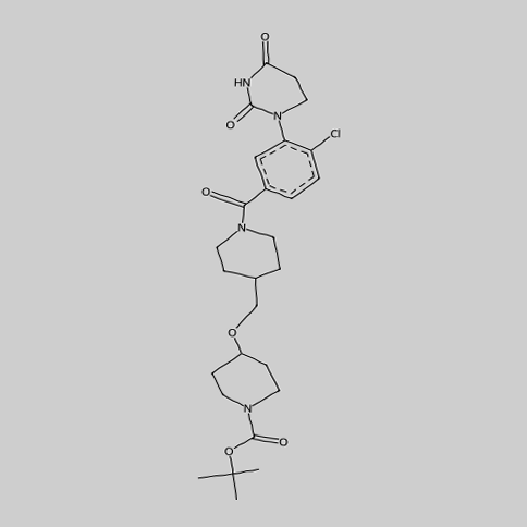 CC(C)(C)OC(=O)N1CCC(OCC2CCN(C(=O)c3ccc(Cl)c(N4CCC(=O)NC4=O)c3)CC2)CC1